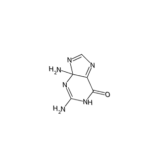 NC1=NC2(N)N=CN=C2C(=O)N1